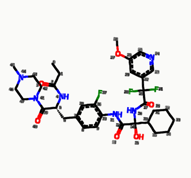 CCC(=O)N[C@H](Cc1ccc(NC(=O)[C@](O)(NC(=O)C(F)(F)c2cncc(OC)c2)C2CCCCC2)c(F)c1)C(=O)N1CCN(C)CC1